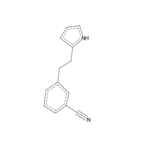 N#Cc1cccc(CCc2ccc[nH]2)c1